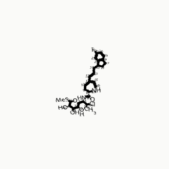 CSC1O[C@H]([C@H](NC(=O)[C@@H]2CC=C(/C=C/CC3CCc4ccc(F)cc43)CCN2)[C@H](C)Cl)C(O)C(O)[C@H]1O